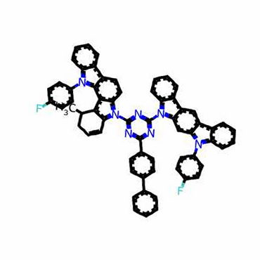 CC1CC=Cc2c1c1c(ccc3c4ccccc4n(-c4ccc(F)cc4)c31)n2-c1nc(-c2ccc(-c3ccccc3)cc2)nc(-n2c3ccccc3c3cc4c5ccccc5n(-c5ccc(F)cc5)c4cc32)n1